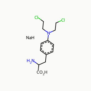 NC(Cc1ccc(N(CCCl)CCCl)cc1)C(=O)O.[NaH]